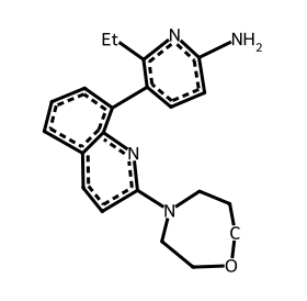 CCc1nc(N)ccc1-c1cccc2ccc(N3CCCOCC3)nc12